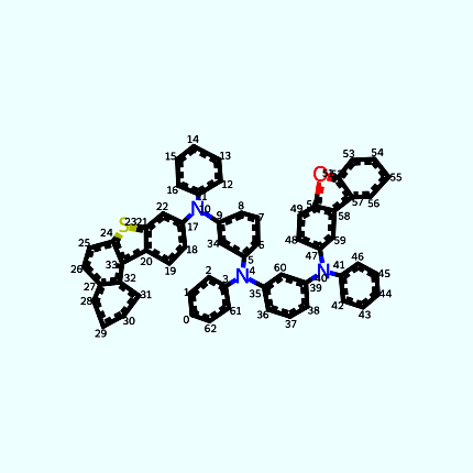 c1ccc(N(c2cccc(N(c3ccccc3)c3ccc4c(c3)sc3ccc5ccccc5c34)c2)c2cccc(N(c3ccccc3)c3ccc4oc5ccccc5c4c3)c2)cc1